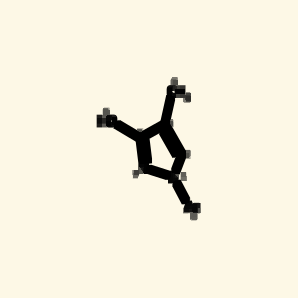 CC(=O)n1cc(C)c(O)n1